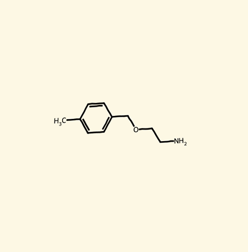 Cc1ccc(COCCN)cc1